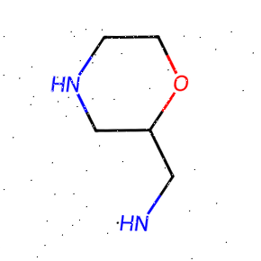 [NH]CC1CNCCO1